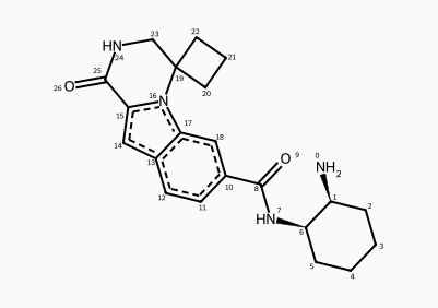 N[C@H]1CCCC[C@H]1NC(=O)c1ccc2cc3n(c2c1)C1(CCC1)CNC3=O